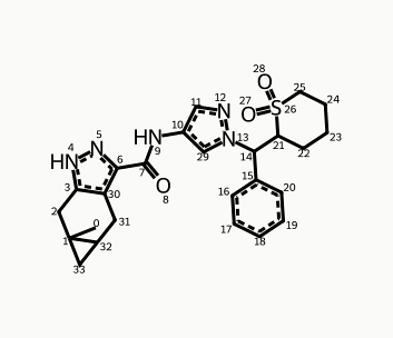 CC12Cc3[nH]nc(C(=O)Nc4cnn(C(c5ccccc5)C5CCCCS5(=O)=O)c4)c3CC1C2